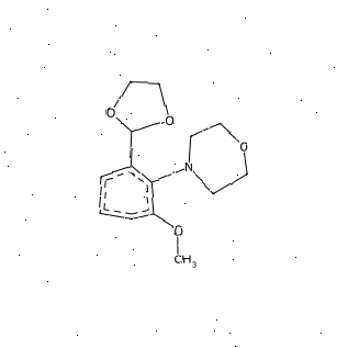 COc1cccc(C2OCCO2)c1N1CCOCC1